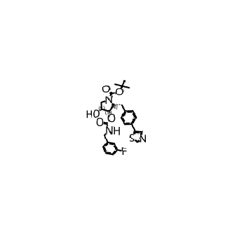 CC(C)(C)OC(=O)N1C[C@H](O)[C@@H](OC(=O)NCc2cccc(F)c2)[C@H]1Cc1ccc(-c2cncs2)cc1